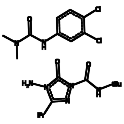 CC(C)c1nn(C(=O)NC(C)(C)C)c(=O)n1N.CN(C)C(=O)Nc1ccc(Cl)c(Cl)c1